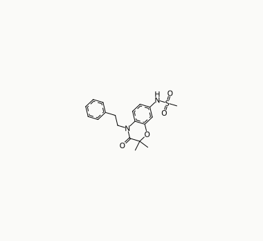 CC1(C)Oc2cc(NS(C)(=O)=O)ccc2N(CCc2ccccc2)C1=O